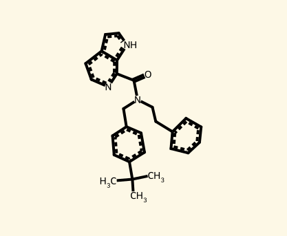 CC(C)(C)c1ccc(CN(CCc2ccccc2)C(=O)c2nccc3cc[nH]c23)cc1